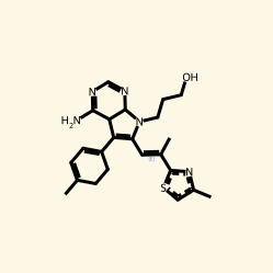 CC1=CC=C(C2=C(/C=C(\C)c3nc(C)cs3)N(CCCO)C3N=CN=C(N)C23)CC1